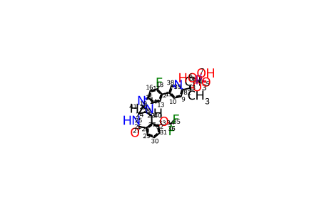 CC(C)(OP(=O)(O)O)c1ccc(-c2cc3c(cc2F)nc2n3[C@@H]3C[C@@H]2NC(=O)c2cccc(OC(F)F)c23)cn1